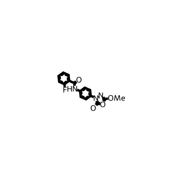 COc1nn(-c2ccc(NC(=O)c3ccccc3F)cc2)c(=O)o1